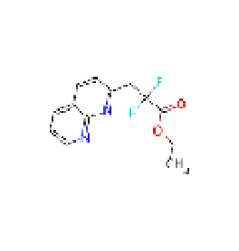 CCOC(=O)C(F)(F)Cc1ccc2cccnc2n1